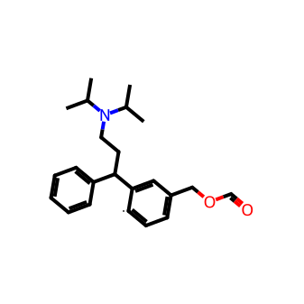 CC(C)N(CCC(c1[c]ccc(COC=O)c1)c1ccccc1)C(C)C